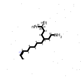 C/C=C\CCCCCC(CCN)CC[C@H](CC)CCC